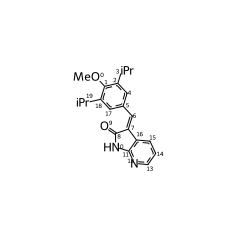 COc1c(C(C)C)cc(C=C2C(=O)Nc3ncccc32)cc1C(C)C